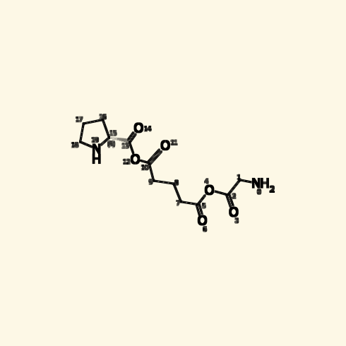 NCC(=O)OC(=O)CCCC(=O)OC(=O)[C@H]1CCCN1